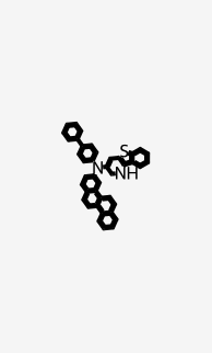 C1=C(N(c2ccc(-c3ccccc3)cc2)c2ccc3ccc4c5ccccc5ccc4c3c2)CNc2c1sc1ccccc21